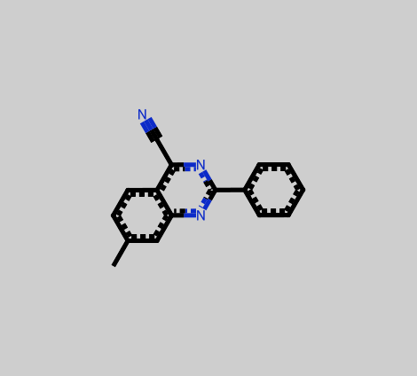 Cc1ccc2c(C#N)nc(-c3ccccc3)nc2c1